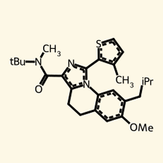 COc1cc2c(cc1CC(C)C)-n1c(-c3sccc3C)nc(C(=O)N(C)C(C)(C)C)c1CC2